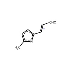 Cc1nc(/C=C/C=O)co1